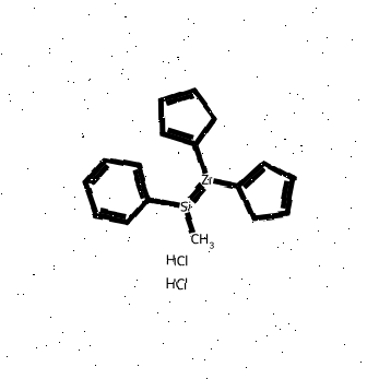 C[Si](c1ccccc1)=[Zr]([C]1=CC=CC1)[C]1=CC=CC1.Cl.Cl